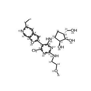 CCc1cc2cc(-c3c(Cl)nc(NCCOC)nc3N[C@@H]3C[C@H](CO)[C@@H](O)[C@H]3O)oc2cn1